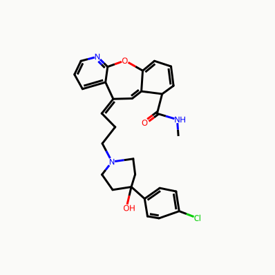 CNC(=O)C1C=CC=C2Oc3ncccc3C(=CCCN3CCC(O)(c4ccc(Cl)cc4)CC3)C=C21